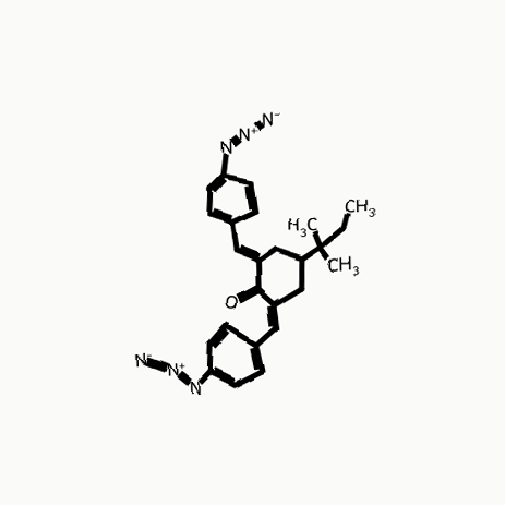 CCC(C)(C)C1CC(=Cc2ccc(N=[N+]=[N-])cc2)C(=O)C(=Cc2ccc(N=[N+]=[N-])cc2)C1